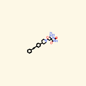 NCC1(CC(=O)N2CCC(c3ccc(C#Cc4ccccc4)cc3)CC2)NC(=O)NC1=O